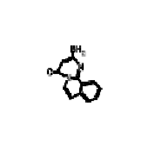 Bc1cc(=O)n2ccc3ccccc3c2n1